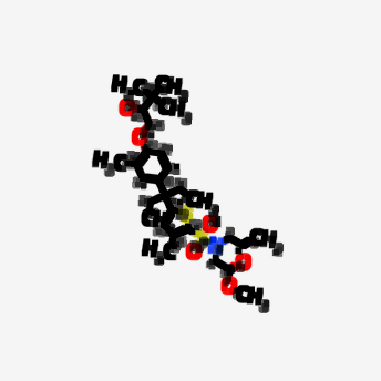 C=CCN(CC(=O)OC)S(=O)(=O)c1sc(C(CC)(CC)c2ccc(OCC(=O)C(C)(C)C)c(C)c2)cc1C